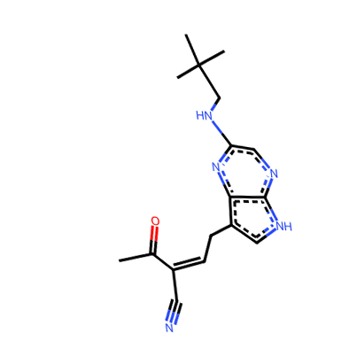 CC(=O)C(C#N)=CCc1c[nH]c2ncc(NCC(C)(C)C)nc12